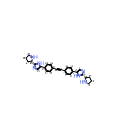 C(#Cc1ccc(-c2cnc([C@@H]3CCCN3)[nH]2)cc1)c1ccc(-c2cnc([C@@H]3CCCN3)[nH]2)cc1